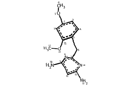 COc1ccc(Cc2nc(N)cc(N)n2)c(OC)c1